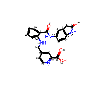 O=C1Cc2cc(NC(=O)c3ccccc3NCc3ccnc(C(=O)O)c3)ccc2N1